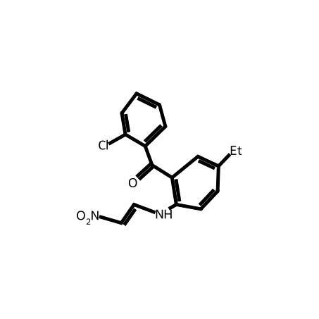 CCc1ccc(NC=C[N+](=O)[O-])c(C(=O)c2ccccc2Cl)c1